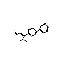 CN(C)C(=CC=O)c1ccc(-c2ccccc2)cn1